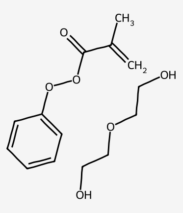 C=C(C)C(=O)OOc1ccccc1.OCCOCCO